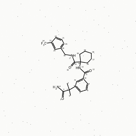 CC(C)(C(N)=O)c1cccc(C(=O)NC2(C(=O)NCc3cccc(C(F)(F)F)c3)CCCCC2)c1